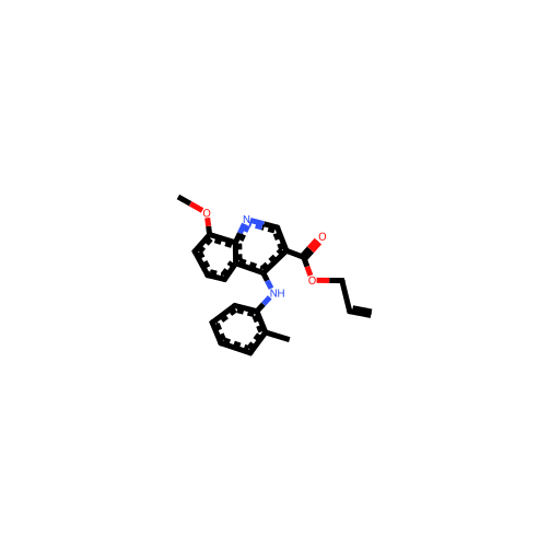 C=CCOC(=O)c1cnc2c(OC)cccc2c1Nc1ccccc1C